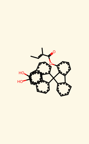 CC=C(C)C(=O)Oc1cccc2c1C(c1cccc3cc(O)ccc13)(c1cccc3cc(O)ccc13)c1ccccc1-2